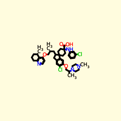 CC(COc1cc2c(cc1Cl)CC(C[C@@H](C)COc1ccnc3c1[C@H](C)CCC3)C21CCC(Nc2cccc(Cl)c2)(C(=O)O)CC1)N1CCN(C)CC1